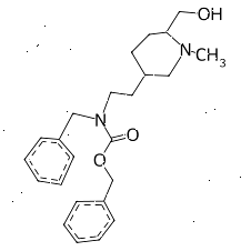 CN1CC(CCN(Cc2ccccc2)C(=O)OCc2ccccc2)CCC1CO